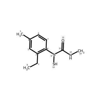 CCc1cc(C)ccc1N(S)C(=O)NC